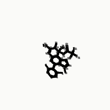 Cc1cccc(C)c1-c1cc2c(c3ccn(C)c13)C(N)(OC(=O)C(F)(F)F)N(C)C(N)=N2